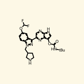 CC(C)(C)NC(=O)Oc1c[nH]c2ncc(-c3nn(CC4CCNC4)c4ccc(OC(F)F)cc34)nc12